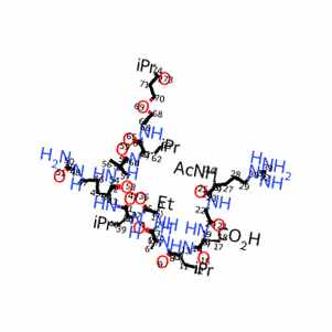 CC[C@H](NC(=O)[C@H](C)NC(=O)[C@H](CC(C)C)NC(=O)[C@H](CC(=O)O)NC(=O)CNC(=O)[C@H](CCCNC(=N)N)NC(C)=O)C(=O)N[C@@H](CC(C)C)C(=O)N[C@@H](CCCNC(N)=O)C(=O)NC(C)(C)C(=O)N[C@@H](CC(C)C)C(=O)NCCOCCC(=O)C(C)C